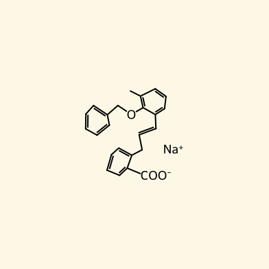 Cc1cccc(/C=C/Cc2ccccc2C(=O)[O-])c1OCc1ccccc1.[Na+]